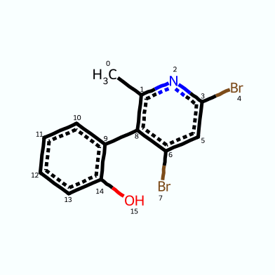 Cc1nc(Br)cc(Br)c1-c1ccccc1O